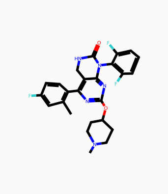 Cc1cc(F)ccc1-c1nc(OC2CCN(C)CC2)nc2c1CNC(=O)N2c1c(F)cccc1F